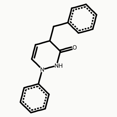 O=C1NN(c2ccccc2)C=CC1Cc1ccccc1